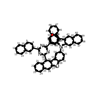 c1ccc(-c2nc(-c3ccc4ccccc4c3)nc(-c3c4ccccc4cc4oc5ccc(-n6c7cc8ccccc8cc7c7c8ccccc8ccc76)cc5c34)n2)cc1